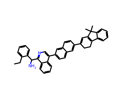 CCc1ccccc1C(N)c1ncc(-c2ccc3cc(C4=CC5=C(CC4)c4ccccc4C5(C)C)ccc3c2)c2ccccc12